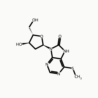 CSc1ncnc2c1[nH]c(=O)n2[C@H]1C[C@@H](O)[C@H](CO)O1